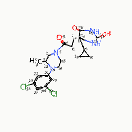 C[C@H]1CN(C(=O)CC[C@@]2(C3CC3)NC(O)NC2=O)CCN1c1cc(Cl)cc(Cl)c1